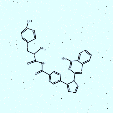 CCCCc1nc(-n2nccc2-c2ccc(C(=O)NC(=O)C(N)Cc3ccc(O)cc3)cc2)cc2ccccc12